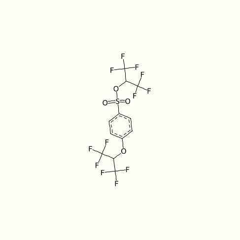 O=S(=O)(OC(C(F)(F)F)C(F)(F)F)c1ccc(OC(C(F)(F)F)C(F)(F)F)cc1